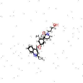 Cc1cc(COc2ccc(C3(C)CCCN(CCCCO)C3=O)cc2)c2ccccc2n1